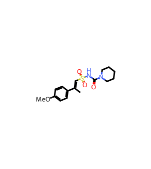 COc1ccc(C(C)=CS(=O)(=O)NC(=O)N2CCCCC2)cc1